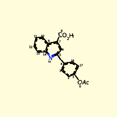 CC(=O)Oc1ccc(-c2cc(C(=O)O)c3ccccc3n2)cc1